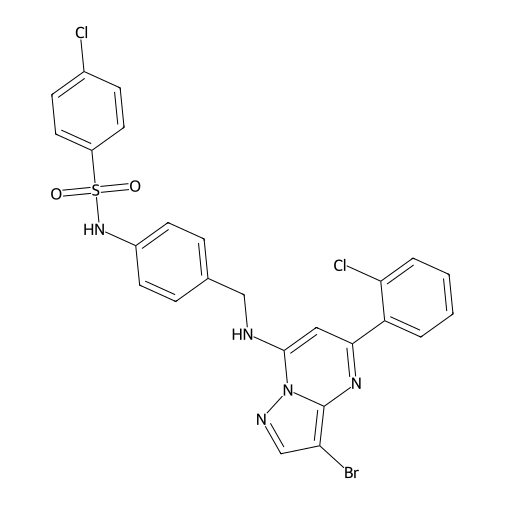 O=S(=O)(Nc1ccc(CNc2cc(-c3ccccc3Cl)nc3c(Br)cnn23)cc1)c1ccc(Cl)cc1